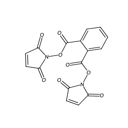 O=C(ON1C(=O)C=CC1=O)c1ccccc1C(=O)ON1C(=O)C=CC1=O